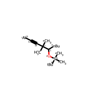 CCCCC(O[Si](C)(C)C(C)(C)C)C(C)(C)C#[C][Al]